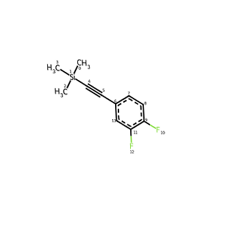 C[Si](C)(C)C#Cc1ccc(F)c(F)c1